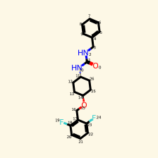 O=C(NCc1ccccc1)N[C@H]1CC[C@H](OCc2c(F)cccc2F)CC1